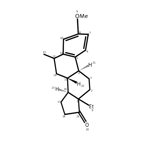 CCC12CC[C@@H]3c4ccc(OC)cc4C(C)C[C@H]3[C@@H]1CCC2=O